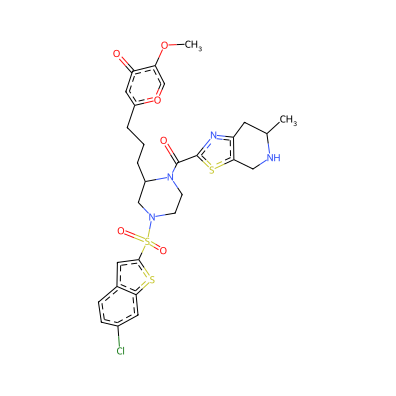 COc1coc(CCCC2CN(S(=O)(=O)c3cc4ccc(Cl)cc4s3)CCN2C(=O)c2nc3c(s2)CNC(C)C3)cc1=O